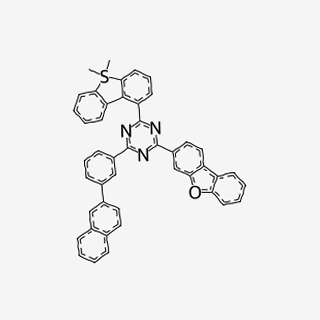 CS1(C)c2ccccc2-c2c(-c3nc(-c4cccc(-c5ccc6ccccc6c5)c4)nc(-c4ccc5c(c4)oc4ccccc45)n3)cccc21